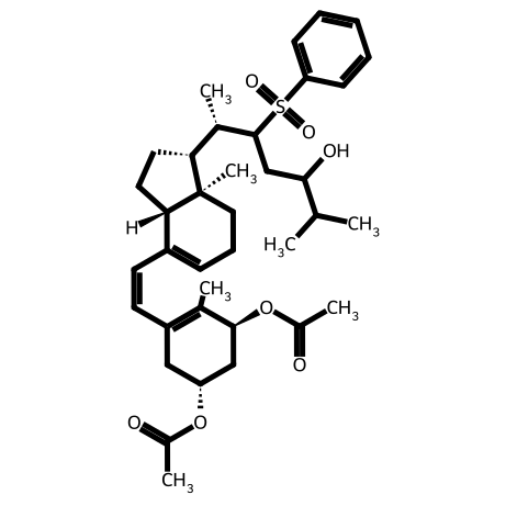 CC(=O)O[C@@H]1CC(/C=C\C2=CCC[C@]3(C)[C@@H]([C@H](C)C(CC(O)C(C)C)S(=O)(=O)c4ccccc4)CC[C@@H]23)=C(C)[C@@H](OC(C)=O)C1